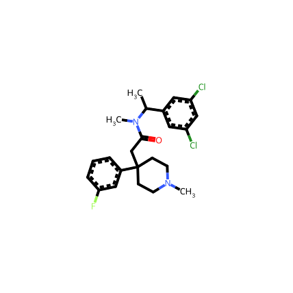 CC(c1cc(Cl)cc(Cl)c1)N(C)C(=O)CC1(c2cccc(F)c2)CCN(C)CC1